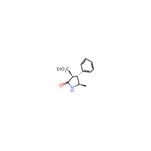 CCOC(=O)[C@@H]1C(=O)N[C@H](C)[C@H]1c1ccccc1